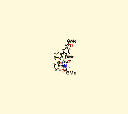 COC(=O)Cc1ccc(OC)c(-c2ccc(C)cc2CN2C(=O)N(CC(=O)OC)C(C)(c3ccccc3)C2=O)c1